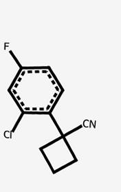 N#CC1(c2ccc(F)cc2Cl)CCC1